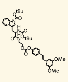 COc1cc(C=Cc2ccc(OC(=O)OCCNC(=O)C(Cc3cn(C(=O)OC(C)(C)C)c4ccccc34)NC(=O)OC(C)(C)C)cc2)cc(OC)c1